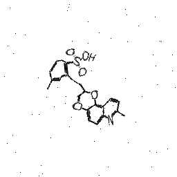 Cc1ccc(S(=O)(=O)O)c(CC2COc3ccc4nc(C)ccc4c3O2)c1